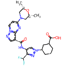 C[C@@H]1CN(c2ccn3ncc(C(=O)Nc4cn(C5CCCC(C(=O)O)C5)nc4C(F)F)c3n2)C[C@H](C)O1